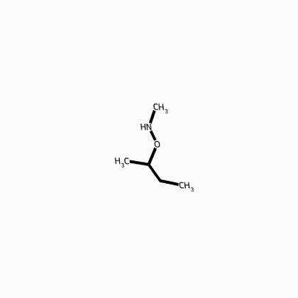 CCC(C)ONC